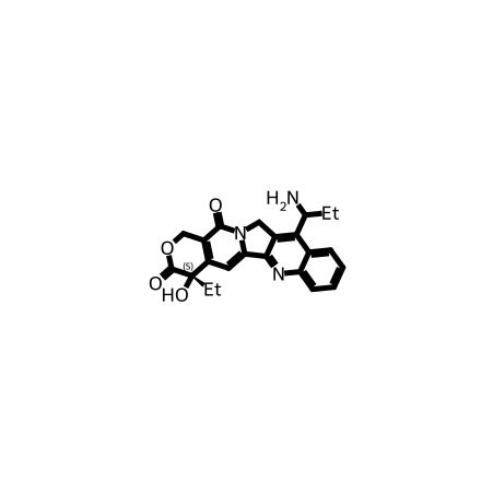 CCC(N)c1c2c(nc3ccccc13)-c1cc3c(c(=O)n1C2)COC(=O)[C@]3(O)CC